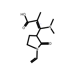 C=CN1CCC(/C(=C(/C)C(=O)O)N(C)C)C1=O